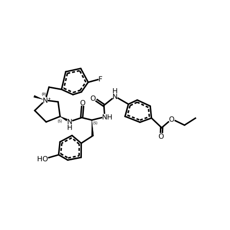 CCOC(=O)c1ccc(NC(=O)N[C@@H](Cc2ccc(O)cc2)C(=O)N[C@H]2CC[N@+](C)(Cc3ccc(F)cc3)C2)cc1